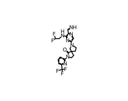 N=Cc1ncc(N2CCC3(CCN(c4cccc(C(F)(F)F)n4)C3=O)C2)nc1NCC(F)F